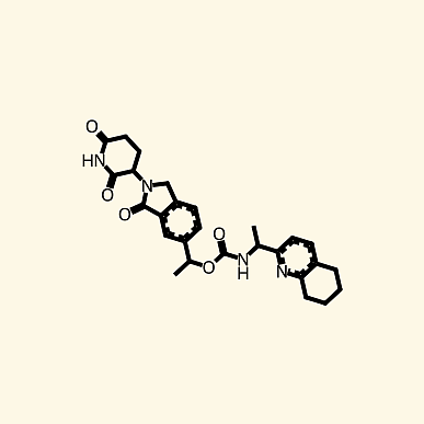 CC(NC(=O)OC(C)c1ccc2c(c1)C(=O)N(C1CCC(=O)NC1=O)C2)c1ccc2c(n1)CCCC2